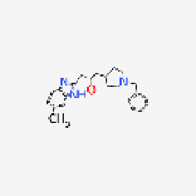 Cc1ccc2nc(CC(=O)CC3CCN(Cc4ccccc4)CC3)[nH]c2c1